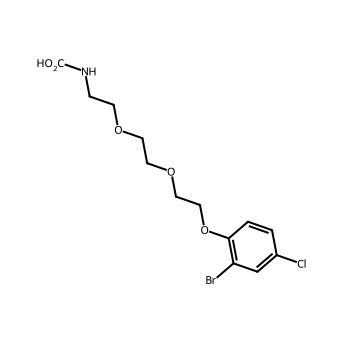 O=C(O)NCCOCCOCCOc1ccc(Cl)cc1Br